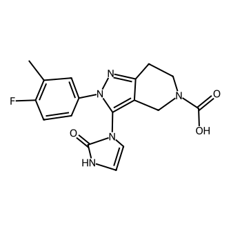 Cc1cc(-n2nc3c(c2-n2cc[nH]c2=O)CN(C(=O)O)CC3)ccc1F